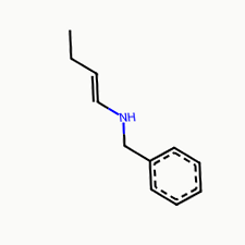 CC/C=C/NCc1ccccc1